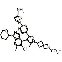 Cc1cc2c(cnn2C2CCCCO2)c(-c2c(-c3ccc(-n4ccc(N)n4)nc3)nn(C3CC4(C3)CN(C(=O)O)C4)c2C)c1Cl